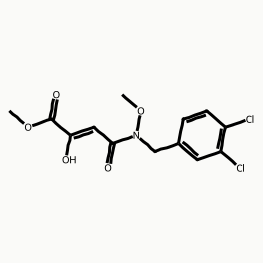 COC(=O)/C(O)=C/C(=O)N(Cc1ccc(Cl)c(Cl)c1)OC